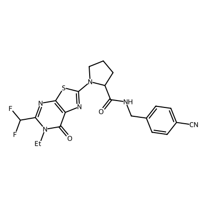 CCn1c(C(F)F)nc2sc(N3CCCC3C(=O)NCc3ccc(C#N)cc3)nc2c1=O